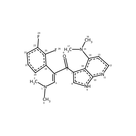 CN(C)/C=C(/C(=O)c1c[nH]c2nccc(N(C)C)c12)c1cccc(F)c1F